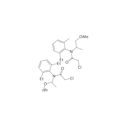 CCCOC(C)N(C(=O)CCl)c1c(CC)cccc1CC.CCc1cccc(C)c1N(C(=O)CCl)C(C)COC